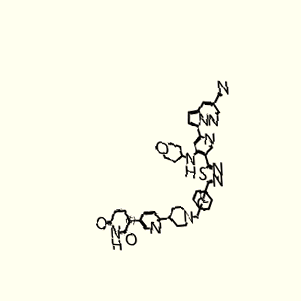 N#Cc1cnn2c(-c3cc(NC4CCOCC4)c(-c4nnc(C56CCC(CN7CCC(c8ccc([C@@H]9CCC(=O)NC9=O)cn8)CC7)(CC5)CC6)s4)cn3)ccc2c1